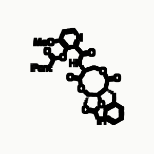 CCCC(C)C(=O)Oc1c(OC)ccnc1C(=O)N[C@H]1COC(=O)[C@H](Cc2ccccc2)[C@@H](OC(=O)C(C)C)[C@H](C)OC1=O